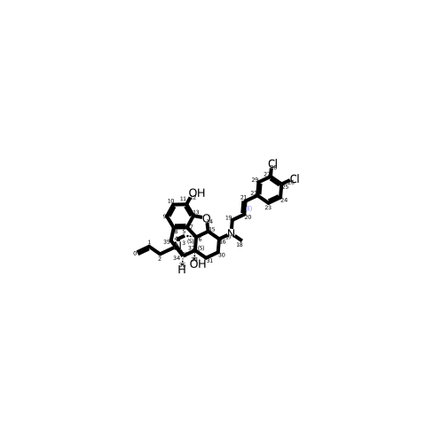 C=CCN1CC[C@]23c4c5ccc(O)c4OC2C(N(C)C/C=C/c2ccc(Cl)c(Cl)c2)CC[C@@]3(O)[C@H]1C5